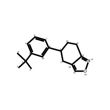 CC(C)(C)c1cccc(C2CCc3nocc3C2)c1